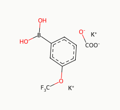 O=C([O-])[O-].OB(O)c1cccc(OC(F)(F)F)c1.[K+].[K+]